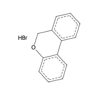 Br.c1ccc2c(c1)COc1ccccc1-2